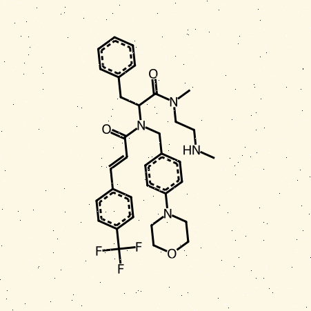 CNCCN(C)C(=O)C(Cc1ccccc1)N(Cc1ccc(N2CCOCC2)cc1)C(=O)C=Cc1ccc(C(F)(F)F)cc1